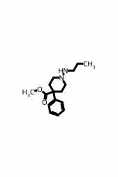 CCCNN1CCC(C(=O)OC)(c2ccccc2)CC1